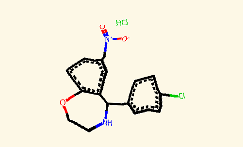 Cl.O=[N+]([O-])c1ccc2c(c1)C(c1ccc(Cl)cc1)NCCO2